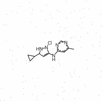 Cc1cc(NC2=CC(C3CC3)NN2Cl)ncn1